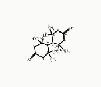 CC1(C)CC(=O)CC(C)(C)P1P1C(C)(C)CC(=O)CC1(C)C